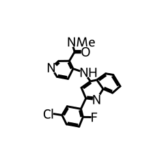 CNC(=O)c1cnccc1Nc1cc(-c2cc(Cl)ccc2F)nc2ccccc12